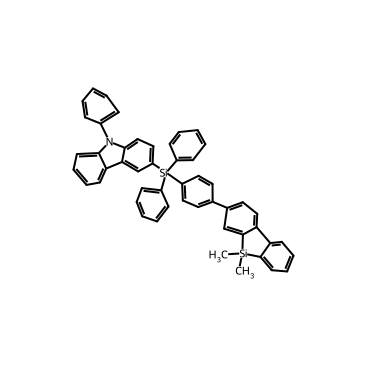 C[Si]1(C)c2ccccc2-c2ccc(-c3ccc([Si](c4ccccc4)(c4ccccc4)c4ccc5c(c4)c4ccccc4n5-c4ccccc4)cc3)cc21